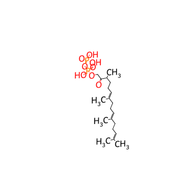 CC(C)=CCC/C(C)=C/CC/C(C)=C/CCC(C)C(=O)COP(=O)(O)OP(=O)(O)O